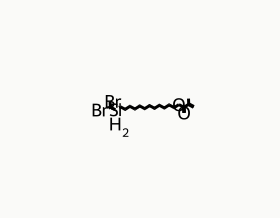 C=C(C)C(=O)OCCCCCCCCCCCC[SiH2]C(Br)Br